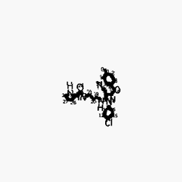 Cc1ccc(C(=O)c2nn(-c3ccc(Cl)cc3)c(NCCCNC(=O)c3ccc[nH]3)c2C#N)cc1